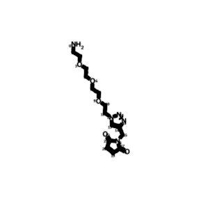 NCCOCCOCCOCCn1cc(CN2C(=O)C=CC2=O)nn1